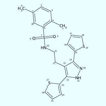 Cc1ccc(C)c(S(=O)(=O)NCCc2c(-c3cccs3)n[nH]c2-c2cccs2)c1